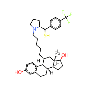 C[C@]12C[C@H](CCCCCN3CCC[C@H]3C(S)c3ccc(C(F)(F)F)cc3)[C@@H]3c4ccc(O)cc4CC[C@H]3[C@@H]1CC[C@@H]2O